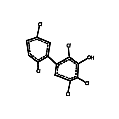 Oc1c(Cl)c(Cl)cc(-c2cc(Cl)ccc2Cl)c1Cl